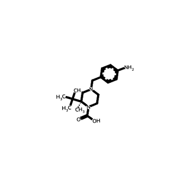 CC(C)(C)[C@@]1(C)CN(Cc2ccc(N)cc2)CCN1C(=O)O